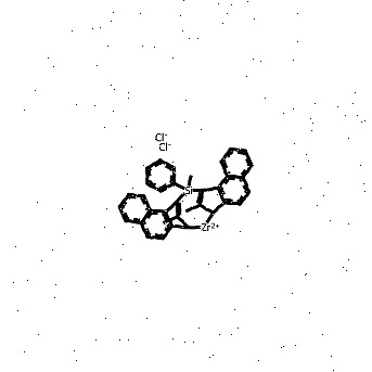 CC1=C2c3c(ccc4ccccc34)[CH]1[Zr+2][CH]1C(C)=C(c3c1ccc1ccccc31)[Si]2(C)c1ccccc1.[Cl-].[Cl-]